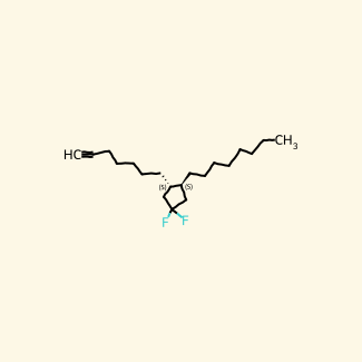 C#CCCCCC[C@H]1CC(F)(F)C[C@@H]1CCCCCCCC